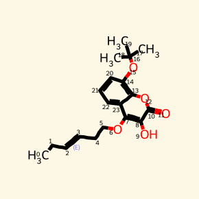 CC/C=C/CCOc1c(O)c(=O)oc2c(OC(C)(C)C)cccc12